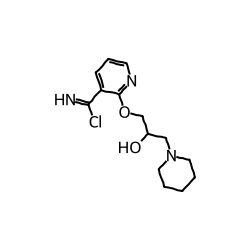 N=C(Cl)c1cccnc1OCC(O)CN1CCCCC1